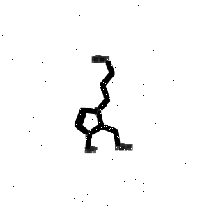 CCCCCCCCCCCCCN1C=CN(CCC)C1CCCCCCCCCCC